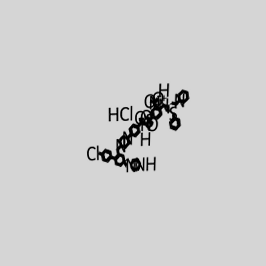 C[C@@]1(CN2CCNCC2)CCC(c2ccc(Cl)cc2)=C(CN2CCN(c3ccc(C(=O)NS(=O)(=O)c4ccc(N[C@H](CCN5CCCCC5)CSc5ccccc5)c([N+](=O)[O-])c4)cc3)CC2)C1.Cl